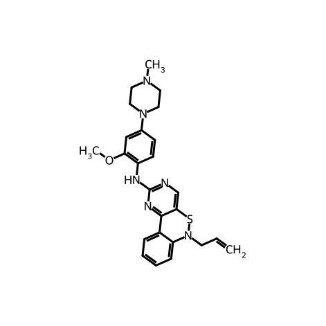 C=CCN1Sc2cnc(Nc3ccc(N4CCN(C)CC4)cc3OC)nc2-c2ccccc21